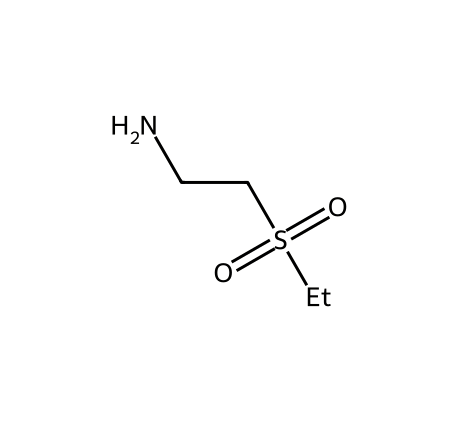 CCS(=O)(=O)CCN